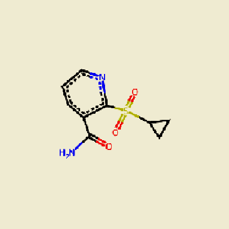 NC(=O)c1cccnc1S(=O)(=O)C1CC1